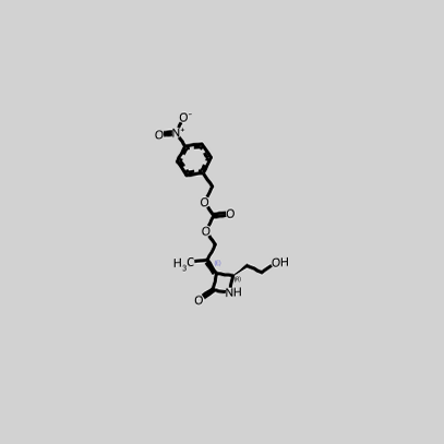 C/C(COC(=O)OCc1ccc([N+](=O)[O-])cc1)=C1\C(=O)N[C@@H]1CCO